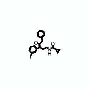 O=C(NCCc1c(Cc2ccccc2)oc2ccc(I)cc12)C1CC1